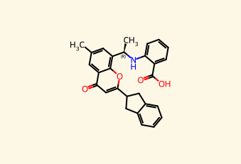 Cc1cc([C@@H](C)Nc2ccccc2C(=O)O)c2oc(C3Cc4ccccc4C3)cc(=O)c2c1